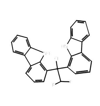 FC(F)C(Cl)(c1cccc2c1[nH]c1ccccc12)c1cccc2c1[nH]c1ccccc12